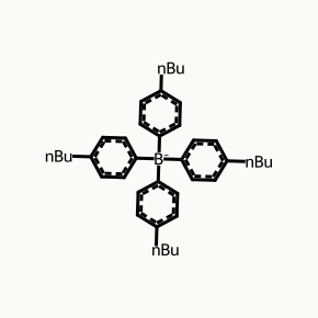 CCCCc1ccc([B-](c2ccc(CCCC)cc2)(c2ccc(CCCC)cc2)c2ccc(CCCC)cc2)cc1